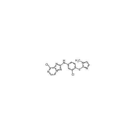 Cn1ccnc1Sc1ccc(Nc2nc3c(Cl)nccn3n2)cc1Cl